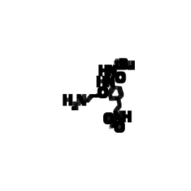 CC(C)(C)NC(=O)Nc1ccc(CCNS(C)(=O)=O)cc1OCCCN